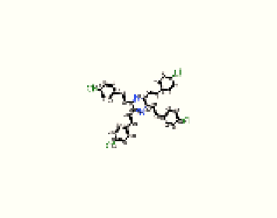 Clc1ccc(C=Cc2nc(C=Cc3ccc(Cl)cc3)c(C=Cc3ccc(Cl)cc3)nc2C=Cc2ccc(Cl)cc2)cc1